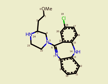 COCCC1CN(C2=Nc3ccccc3Nc3ccc(Cl)cc32)CCN1